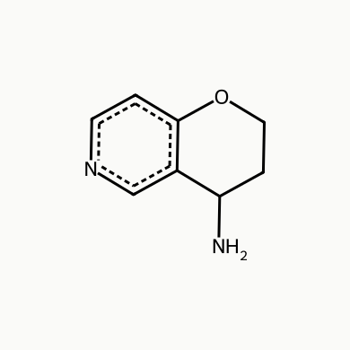 NC1CCOc2ccncc21